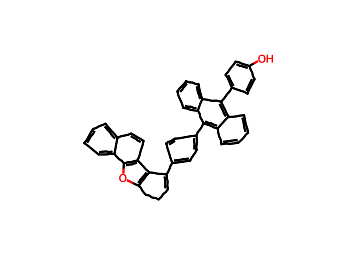 Oc1ccc(-c2c3ccccc3c(-c3ccc(C4=CCCc5oc6c(ccc7ccccc76)c54)cc3)c3ccccc23)cc1